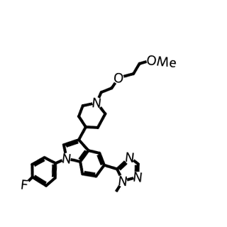 COCCOCCN1CCC(c2cn(-c3ccc(F)cc3)c3ccc(-c4ncnn4C)cc23)CC1